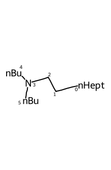 [CH2]CCCCCCCCN(CCCC)CCCC